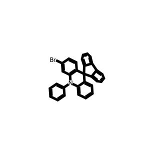 Brc1ccc2c(c1)N(c1ccccc1)c1ccccc1C21c2ccccc2-c2ccccc21